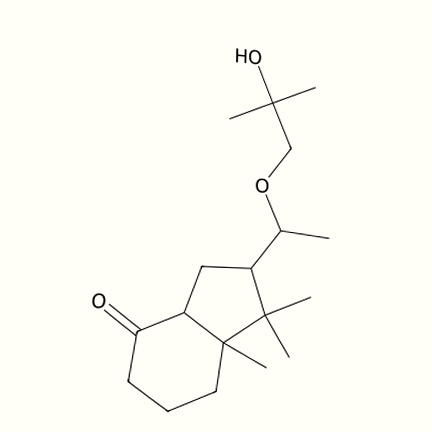 CC(OCC(C)(C)O)C1CC2C(=O)CCCC2(C)C1(C)C